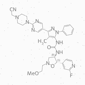 COCCN1C[C@@H](NC(=O)Nc2c(C)c(-c3cnc(N4CCN(CC#N)CC4)nc3)nn2-c2ccccc2)[C@H](c2ccnc(F)c2)O1